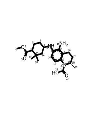 COC(=O)C1CCC(Nc2ccc3c(c2N)CC[C@H](C)N3C(=O)O)CC1(C)C